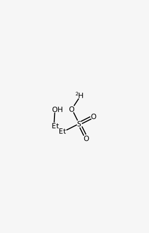 CCO.[2H]OS(=O)(=O)CC